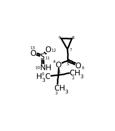 CC(C)(C)OC(=O)C1CC1.N=S(=O)=O